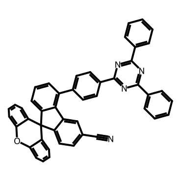 N#Cc1ccc2c(c1)-c1c(-c3ccc(-c4nc(-c5ccccc5)nc(-c5ccccc5)n4)cc3)cccc1C21c2ccccc2Oc2ccccc21